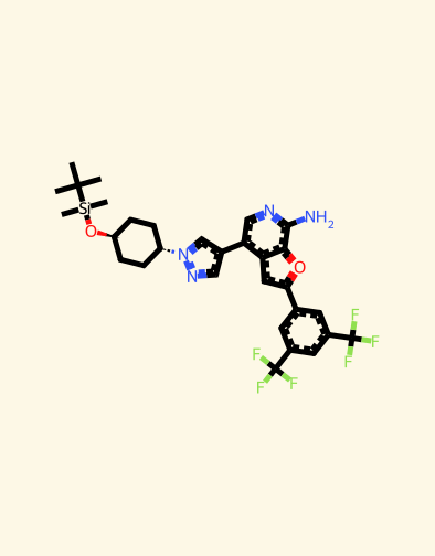 CC(C)(C)[Si](C)(C)O[C@H]1CC[C@H](n2cc(-c3cnc(N)c4oc(-c5cc(C(F)(F)F)cc(C(F)(F)F)c5)cc34)cn2)CC1